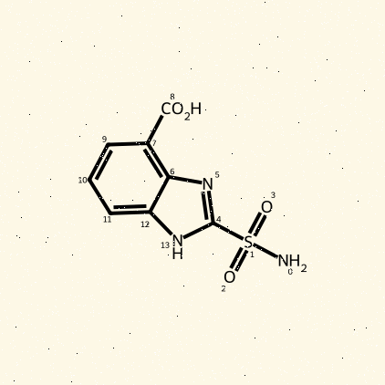 NS(=O)(=O)c1nc2c(C(=O)O)cccc2[nH]1